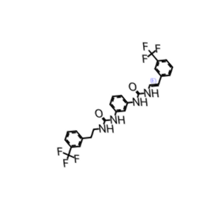 O=C(N/C=C/c1cccc(C(F)(F)F)c1)Nc1cccc(NC(=O)NCCc2cccc(C(F)(F)F)c2)c1